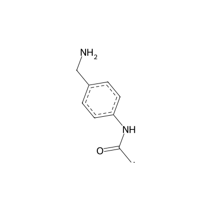 [CH2]C(=O)Nc1ccc(CN)cc1